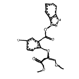 COC=C(Oc1ccc(Cl)cc1C(=O)On1nnc2ccccc21)C(=O)OC